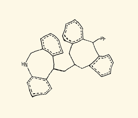 CC(C)C1c2ccccc2CC(CC2c3ccccc3CNc3ccccc32)Cc2ccccc21